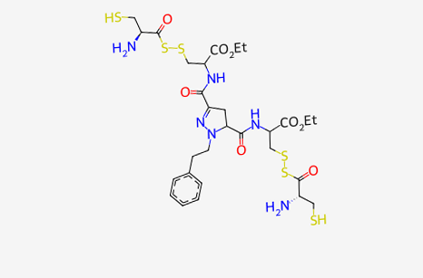 CCOC(=O)C(CSSC(=O)[C@@H](N)CS)NC(=O)C1=NN(CCc2ccccc2)C(C(=O)NC(CSSC(=O)[C@@H](N)CS)C(=O)OCC)C1